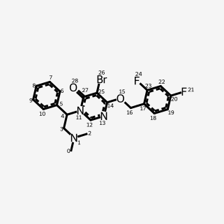 CN(C)CC(c1ccccc1)n1cnc(OCc2ccc(F)cc2F)c(Br)c1=O